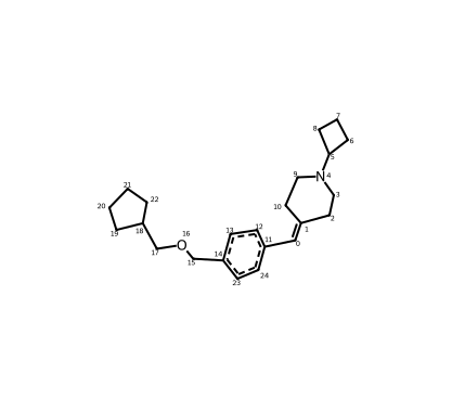 C(=C1CCN(C2CCC2)CC1)c1ccc(COCC2CCCC2)cc1